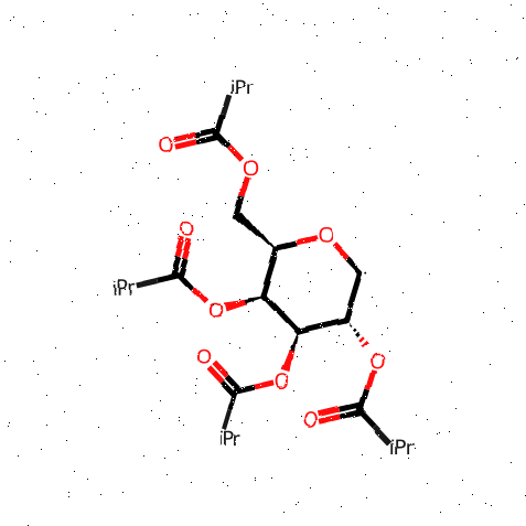 CC(C)C(=O)OC[C@H]1O[CH][C@H](OC(=O)C(C)C)[C@@H](OC(=O)C(C)C)[C@H]1OC(=O)C(C)C